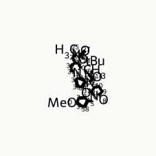 COc1ccc(CN2C(=O)CCC(n3c(=O)n(C)c4c(N5CCC(CN(C)C(=O)OC(C)(C)C)CC5)cccc43)C2=O)cc1